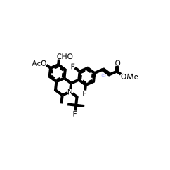 COC(=O)/C=C/c1cc(F)c(C2c3cc(C=O)c(OC(C)=O)cc3CC(C)N2CC(C)(C)F)c(F)c1